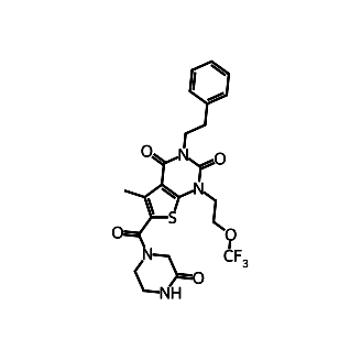 Cc1c(C(=O)N2CCNC(=O)C2)sc2c1c(=O)n(CCc1ccccc1)c(=O)n2CCOC(F)(F)F